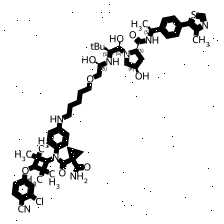 Cc1ncsc1-c1ccc([C@H](C)NC(=O)[C@@H]2C[C@@H](O)CN2[C@@H](O)[C@@H](N[C@@H](O)COCCCCCNc2ccc(N(C(=O)C3(C(N)=O)CC3)C3C(C)(C)C(Oc4ccc(C#N)c(Cl)c4)C3(C)C)cc2)C(C)(C)C)cc1